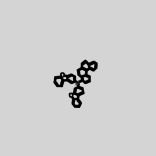 c1ccc2c(c1)ccc1ccc3c(N(c4ccc5c(c4)oc4ccccc45)c4ccc5oc6ccccc6c5c4)cccc3c12